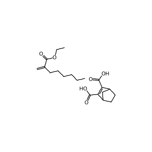 C=C(CCCCCC)C(=O)OCC.O=C(O)C1=C(C(=O)O)C2CCC1C2